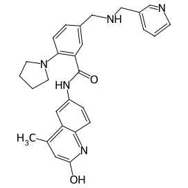 Cc1cc(O)nc2ccc(NC(=O)c3cc(CNCc4cccnc4)ccc3N3CCCC3)cc12